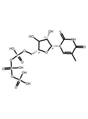 Cc1cn([C@@H]2O[C@H](COP(=O)(O)OP(=O)(O)OP(=O)(O)O)C(O)[C@@H]2O)c(=S)[nH]c1=O